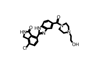 O=C1NCc2c(Cl)ccc(-c3nc4cc(C(=O)N5CCN(CCO)CC5)ccc4[nH]3)c21